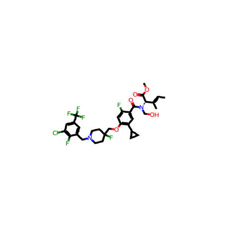 C/C=C(\C)[C@@H](C(=O)OC)N(CO)C(=O)c1cc(C2CC2)c(OCC2(F)CCN(Cc3cc(C(F)(F)F)cc(Cl)c3F)CC2)cc1F